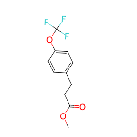 COC(=O)CCc1ccc(OC(F)(F)F)cc1